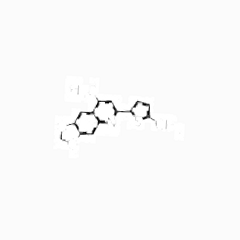 Cc1ccc(-c2cc(C)c3cc4c(cc3n2)OCO4)s1